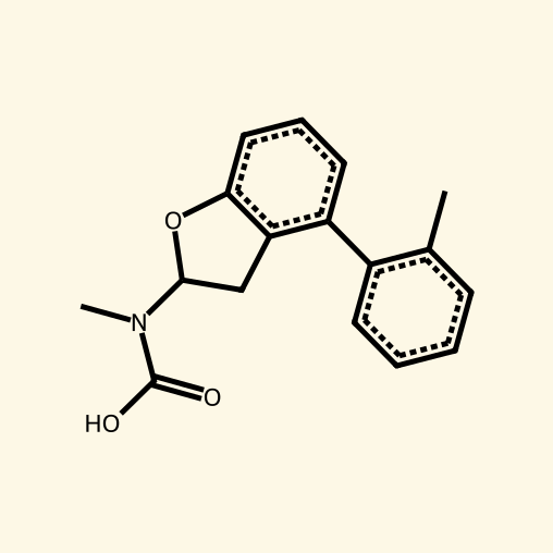 Cc1ccccc1-c1cccc2c1CC(N(C)C(=O)O)O2